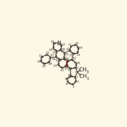 CC1(C)c2ccccc2-c2ccc(-c3ccccc3-c3c4ccccc4c(-c4ccccc4)c4ccncc34)cc21